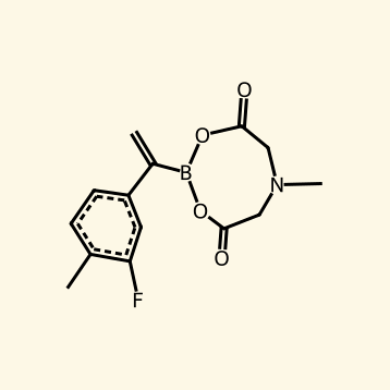 C=C(B1OC(=O)CN(C)CC(=O)O1)c1ccc(C)c(F)c1